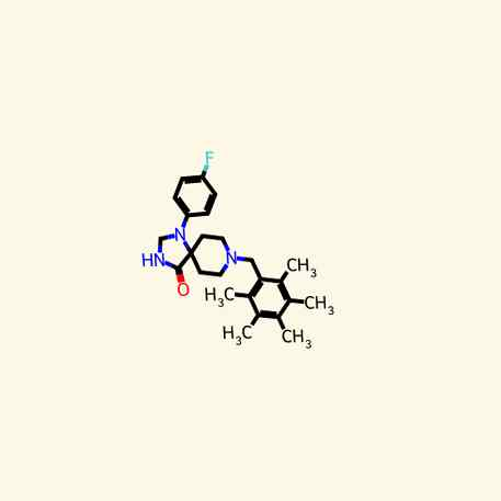 Cc1c(C)c(C)c(CN2CCC3(CC2)C(=O)NCN3c2ccc(F)cc2)c(C)c1C